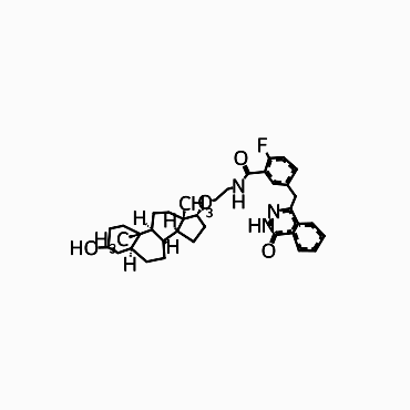 C[C@]12CCC(O)C[C@@H]1CC[C@@H]1[C@@H]2CC[C@]2(C)[C@@H](OCCNC(=O)c3cc(Cc4n[nH]c(=O)c5ccccc45)ccc3F)CC[C@@H]12